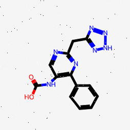 O=C(O)Nc1cnc(Cc2nn[nH]n2)nc1-c1ccccc1